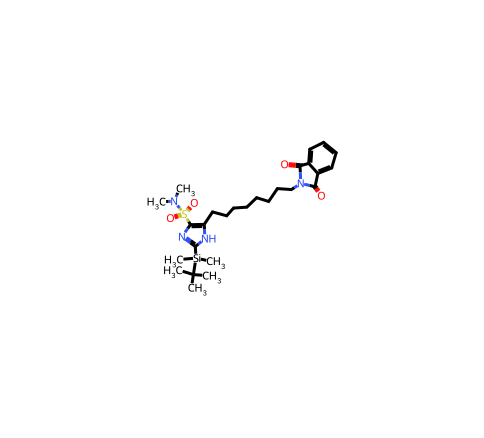 CN(C)S(=O)(=O)c1nc([Si](C)(C)C(C)(C)C)[nH]c1CCCCCCCCN1C(=O)c2ccccc2C1=O